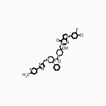 Cc1ccc(-c2ncc(CN3CC[C@@H](C(=O)N4CCC(O)(Cn5cnc6c(ccn6-c6ccc(Cl)c(F)c6)c5=O)CC4)[C@H](c4ccccc4)C3)s2)cn1